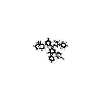 CC1=CC(N(c2cc(C)cc(N3CCN4CCC[C@@H]4C3)c2)c2ncn(-c3ccccc3)n2)=CC(N2CCN(C)CC2)N1c1ccccc1